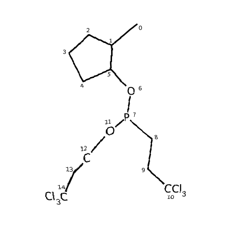 CC1CCCC1OP(CCC(Cl)(Cl)Cl)OCCC(Cl)(Cl)Cl